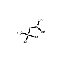 C[Si](O)(O)O[SiH](O)O